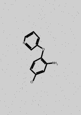 Nc1cc(Cl)ccc1Oc1cccnc1